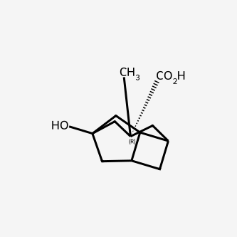 C[C@@]1(C(=O)O)CC2CC3CC(O)(CC32)C1